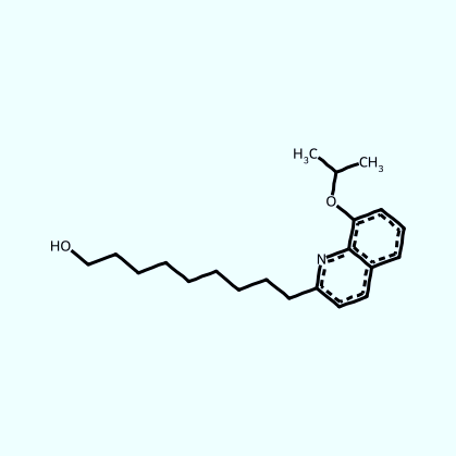 CC(C)Oc1cccc2ccc(CCCCCCCCCO)nc12